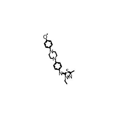 CCn1nc(C)s/c1=N\c1ccc(N2CCN(c3ccc(OC)cc3)CC2)cc1